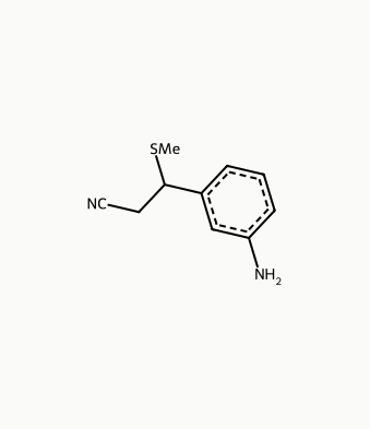 CSC(CC#N)c1cccc(N)c1